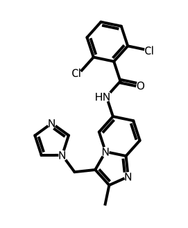 Cc1nc2ccc(NC(=O)c3c(Cl)cccc3Cl)cn2c1Cn1ccnc1